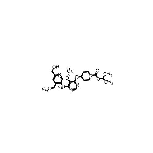 CCc1cc(CO)ncc1Nc1ncnc(OC2CCN(C(=O)OC(C)C)CC2)c1OC